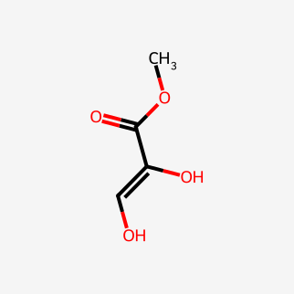 COC(=O)C(O)=CO